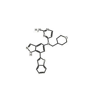 Nc1nccc(N(CC2CCOCC2)c2cc(-c3cc4ccccc4s3)c3[nH]ncc3c2)n1